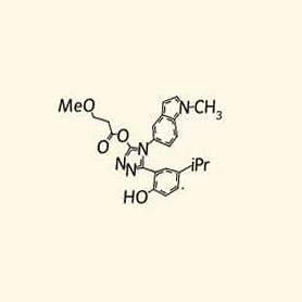 COCCC(=O)Oc1nnc(-c2cc(C(C)C)[c]cc2O)n1-c1ccc2c(ccn2C)c1